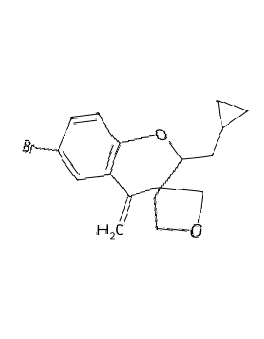 C=C1c2cc(Br)ccc2OC(CC2CC2)C12COC2